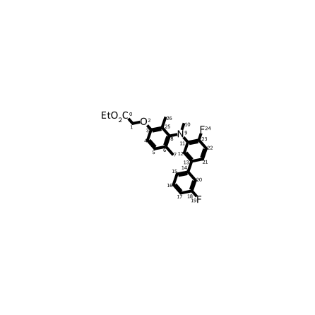 CCOC(=O)COc1ccc(C)c(N(C)c2cc(-c3cccc(F)c3)ccc2F)c1C